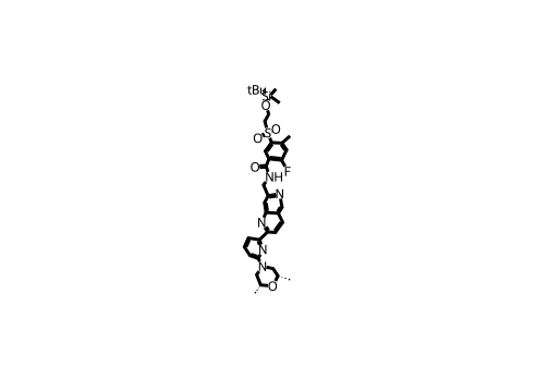 Cc1cc(F)c(C(=O)NCc2cc3nc(-c4cccc(N5C[C@@H](C)O[C@@H](C)C5)n4)ccc3cn2)cc1S(=O)(=O)CCO[Si](C)(C)C(C)(C)C